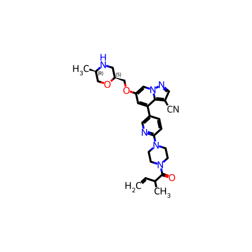 C=CC(C)C(=O)N1CCN(c2ccc(-c3cc(OC[C@@H]4CN[C@H](C)CO4)cn4ncc(C#N)c34)cn2)CC1